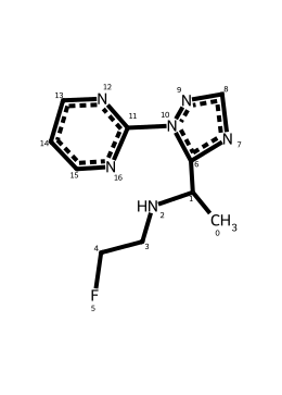 CC(NCCF)c1ncnn1-c1ncccn1